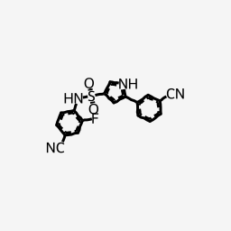 N#Cc1cccc(-c2cc(S(=O)(=O)Nc3ccc(C#N)cc3F)c[nH]2)c1